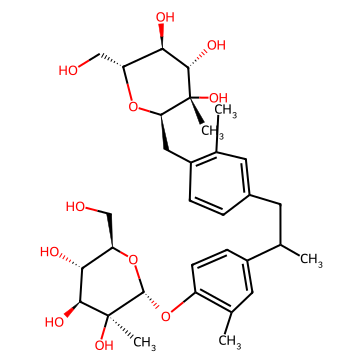 Cc1cc(CC(C)c2ccc(O[C@H]3O[C@H](CO)[C@@H](O)[C@H](O)[C@]3(C)O)c(C)c2)ccc1C[C@H]1O[C@H](CO)[C@@H](O)[C@H](O)[C@]1(C)O